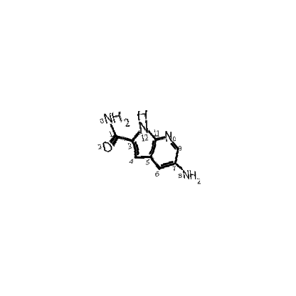 NC(=O)c1cc2cc(N)cnc2[nH]1